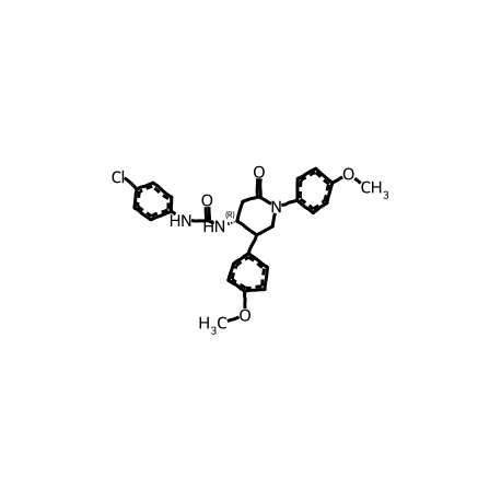 COc1ccc(C2CN(c3ccc(OC)cc3)C(=O)C[C@H]2NC(=O)Nc2ccc(Cl)cc2)cc1